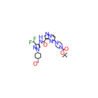 CC(C)(C)OC(=O)N1CCN(c2ccn3ncc(C(=O)Nc4cn([C@H]5CC[C@H](C=O)CC5)nc4C(F)F)c3n2)CC1